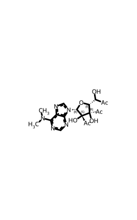 CC(=O)C(O)[C@H]1O[C@@H](n2cnc3c(N(C)C)ncnc32)[C@](O)(C(C)=O)[C@@]1(O)C(C)=O